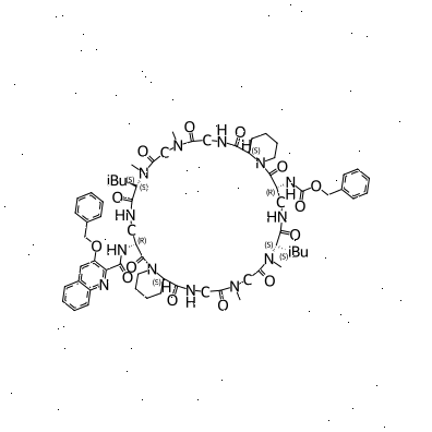 CC[C@H](C)[C@H]1C(=O)NC[C@@H](NC(=O)c2nc3ccccc3cc2OCc2ccccc2)C(=O)N2CCCC[C@H]2C(=O)NCC(=O)N(C)CC(=O)N(C)[C@@H]([C@@H](C)CC)C(=O)NC[C@@H](NC(=O)OCc2ccccc2)C(=O)N2CCCC[C@H]2C(=O)NCC(=O)N(C)CC(=O)N1C